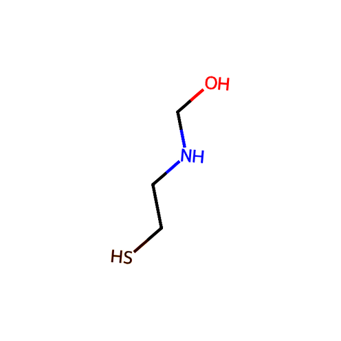 OCNCCS